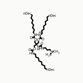 CCCCCCCCCCCCCCCCCCNC(=O)OCC(COC(=O)NCCCCCCCCCCCCCCCCCC)(COC(=O)NCCCCCCCCCCCCCCCCCC)NC(=O)NCCCN(C)C